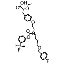 CCOC(Cc1ccc(OCCN(CCCCOCc2ccc(F)cc2)C(=O)Oc2cccc(C(F)(F)F)c2)cc1)C(=O)O